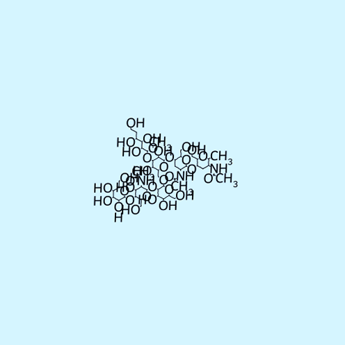 CO[C@H](OC1C(O)[C@H](O[C@H]2CC(NC(C)=O)[C@H](O[C@H]3CC(NC(C)=O)[C@H](C)OC3CO)OC2CO)OC(CO[C@H]2OC(CO)[C@@H](O)C(O)C2O[C@@H]2OC(CO)[C@@H](O[C@@H]3OC(CO)[C@H](O)C(O)C3O)C(O)C2NC(C)=O)[C@H]1O)C(O)C(O)[C@H](O)CCO